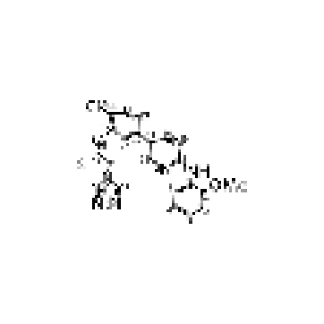 COc1ccccc1Nc1ncc(-c2ccc(Cl)c(O[C@@H](C)Cn3cnnn3)c2)cn1